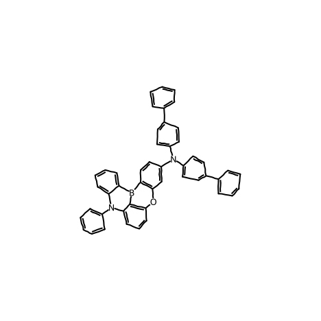 c1ccc(-c2ccc(N(c3ccc(-c4ccccc4)cc3)c3ccc4c(c3)Oc3cccc5c3B4c3ccccc3N5c3ccccc3)cc2)cc1